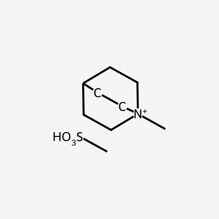 CS(=O)(=O)O.C[N+]12CCC(CC1)CC2